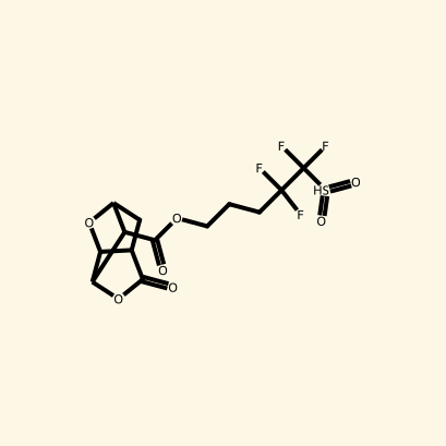 O=C1OC2C3OC(CC13)C2C(=O)OCCCC(F)(F)C(F)(F)[SH](=O)=O